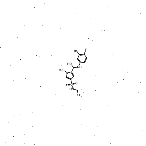 Cn1cc(S(=O)(=O)NCC(F)(F)F)cc1C(O)Nc1ccc(F)c(Br)c1